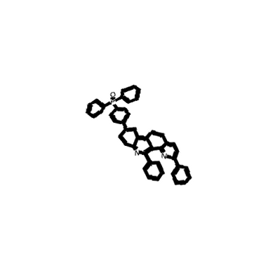 O=P(c1ccccc1)(c1ccccc1)c1ccc(-c2ccc3nc(-c4ccccc4)c4c(ccc5ccc(-c6ccccc6)nc54)c3c2)cc1